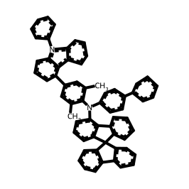 Cc1cc(-c2cccc3c2c2ccccc2n3-c2ccccc2)cc(C)c1N(c1ccc(-c2ccccc2)cc1)c1cccc2c1-c1ccccc1C21c2ccccc2-c2ccccc21